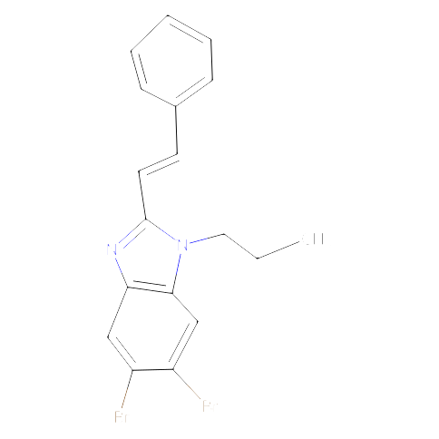 CCCn1c(/C=C/c2ccccc2)nc2cc(Br)c(Br)cc21